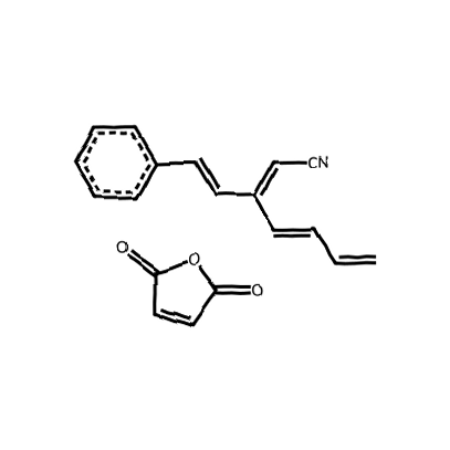 C=CC=CC(C=Cc1ccccc1)=CC#N.O=C1C=CC(=O)O1